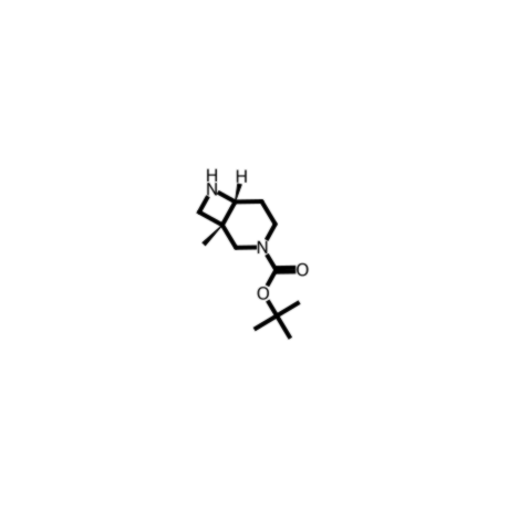 CC(C)(C)OC(=O)N1CC[C@H]2NC[C@@]2(C)C1